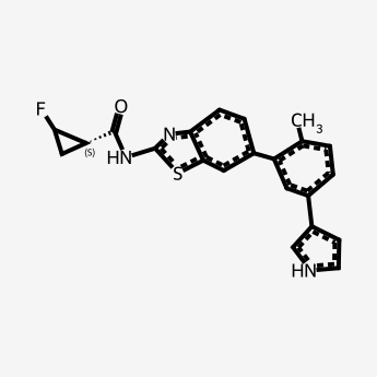 Cc1ccc(-c2cc[nH]c2)cc1-c1ccc2nc(NC(=O)[C@@H]3CC3F)sc2c1